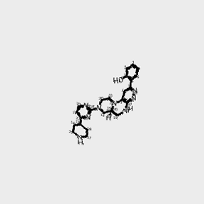 Oc1ccccc1-c1cc2c(nn1)NC[C@@H]1CN(c3nccc(C4CCNCC4)n3)CCN21